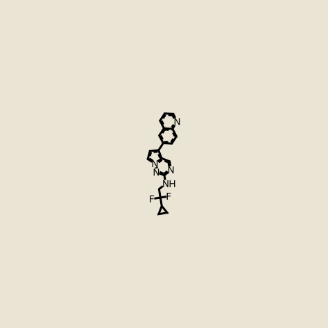 FC(F)(CNc1ncc2c(-c3ccc4ncccc4c3)ccn2n1)C1CC1